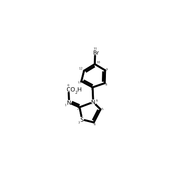 O=C(O)/N=c1/sccn1-c1ccc(Br)cc1